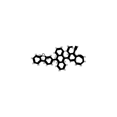 C#Cc1c2c(cc(-c3c4ccccc4c(-c4ccc5c(c4)oc4ccccc45)c4ccccc34)c1/C=C\C)C=CCC#C2